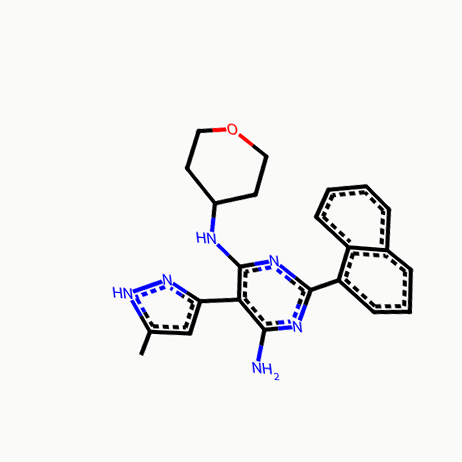 Cc1cc(-c2c(N)nc(-c3cccc4ccccc34)nc2NC2CCOCC2)n[nH]1